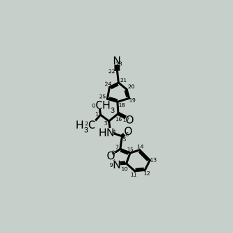 CC(C)C(NC(=O)c1onc2ccccc12)C(=O)c1ccc(C#N)cc1